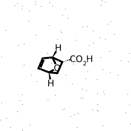 O=C(O)[C@@H]1C[C@@H]2C=C[C@H]1O2